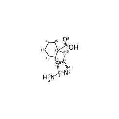 Nc1ncc(SC2(C(=O)O)CCCCC2)s1